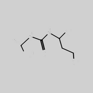 CC[C@H](NC(=O)NC(CCC(=O)O)C(=O)O)C(=O)O